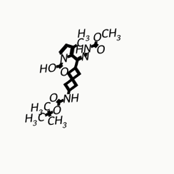 COC(=O)N/N=C(\c1c(C)ccn1C(=O)O)C1CC2(CC(NC(=O)OC(C)(C)C)C2)C1